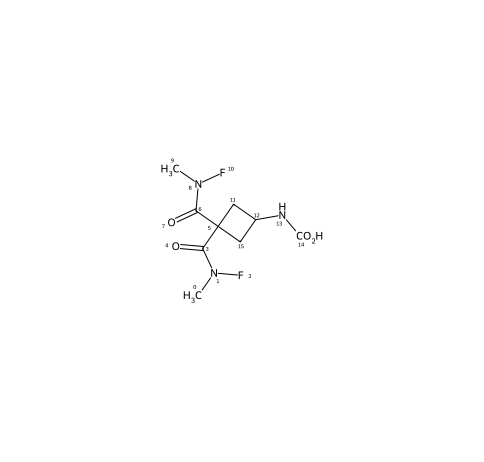 CN(F)C(=O)C1(C(=O)N(C)F)CC(NC(=O)O)C1